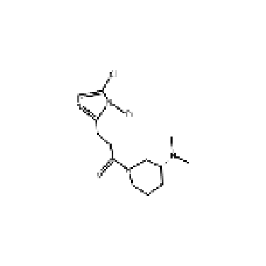 CC(C)n1c(Cl)cnc1CCC(=O)N1CCC[C@@H](N(C)C)C1